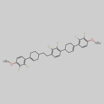 CCCCOc1ccc(C2=CCC(CCc3ccc(C4CC=C(c5ccc(OCCCC)c(F)c5F)CC4)c(F)c3F)CC2)c(F)c1F